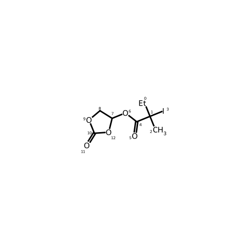 CCC(C)(I)C(=O)OC1COC(=O)O1